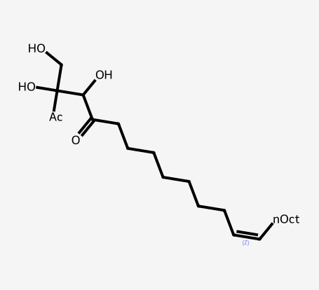 CCCCCCCC/C=C\CCCCCCCC(=O)C(O)C(O)(CO)C(C)=O